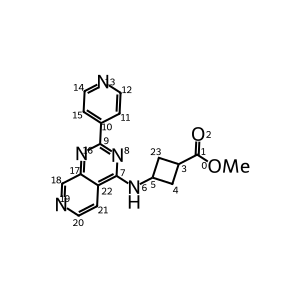 COC(=O)C1CC(Nc2nc(-c3ccncc3)nc3cnccc23)C1